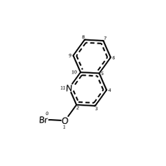 BrOc1ccc2ccccc2n1